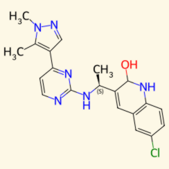 Cc1c(-c2ccnc(N[C@@H](C)C3=Cc4cc(Cl)ccc4NC3O)n2)cnn1C